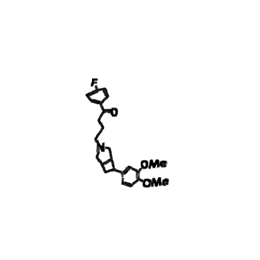 COc1ccc(C2CC3CN(CCCC(=O)c4ccc(F)cc4)CC32)cc1OC